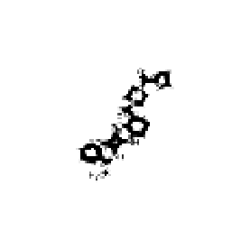 CC[C@@H](Nc1c(Nc2cccc(C(=O)N3CCN(C(=O)C4CC=CS4)CC3)c2O)c(=O)c1=O)c1ccccc1